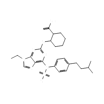 CCn1cnc2c(N(c3ccc(CCC(C)C)cc3)S(N)(=O)=O)nc(NC3CCCCC3C(N)=O)nc21